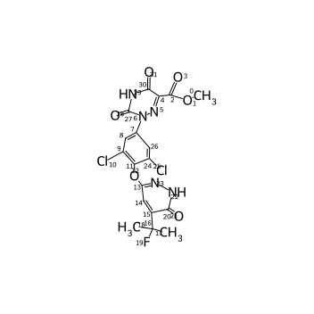 COC(=O)c1nn(-c2cc(Cl)c(Oc3cc(C(C)(C)F)c(=O)[nH]n3)c(Cl)c2)c(=O)[nH]c1=O